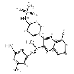 Cc1nc(N)nc(N[C@@H](C)c2cc3cccc(Cl)c3nc2N2CCC(NS(C)(=O)=O)CC2)n1